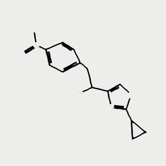 Br.NC(Cc1ccc([N+](=O)[O-])cc1)c1csc(C2CC2)n1